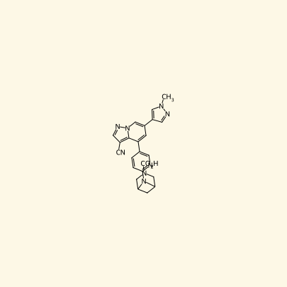 Cn1cc(-c2cc(-c3ccc(N4C5CC4CN(C(=O)O)C5)nc3)c3c(C#N)cnn3c2)cn1